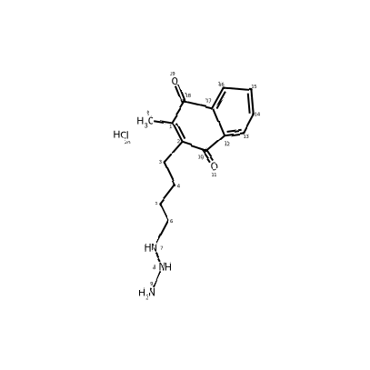 CC1=C(CCCCNNN)C(=O)c2ccccc2C1=O.Cl